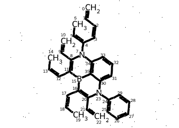 C=C/C=C\C(=C/C)N1C(C=C)=C(/C=C\C)B2C(/C=C\C)=C(C=C)N(c3ccccc3)c3cccc1c32